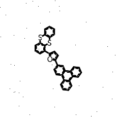 c1ccc2c(c1)Sc1cccc(-c3ccc(-c4ccc5c6ccccc6c6ccccc6c5c4)o3)c1S2